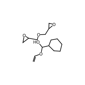 C(OCC1CO1)C1CO1.C=COC(O)C1CCCCC1